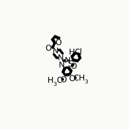 COc1cc2c(cc1OC)S(=O)(c1ccccc1)=NC(N1CCN(C(=O)c3ccco3)CC1)=N2.Cl